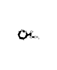 COC(=O)C1=CC=CC=CN=N1